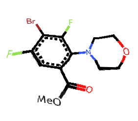 COC(=O)c1cc(F)c(Br)c(F)c1N1CCOCC1